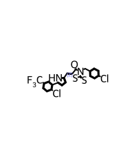 O=C1/C(=C/c2ccc(-c3cc(C(F)(F)F)ccc3Cl)[nH]2)SC(=S)N1Cc1ccc(Cl)cc1